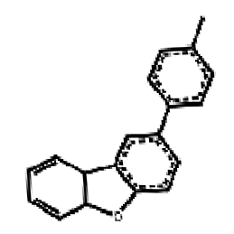 Cc1ccc(-c2ccc3c(c2)C2C=CC=CC2O3)cc1